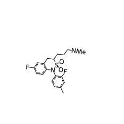 CNCCCC1Cc2cc(F)ccc2N(c2ccc(C)cc2F)S1(=O)=O